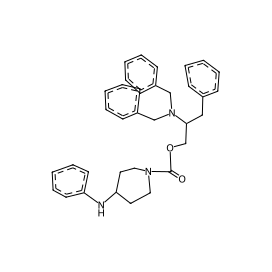 O=C(OCC(Cc1ccccc1)N(Cc1ccccc1)Cc1ccccc1)N1CCC(Nc2ccccc2)CC1